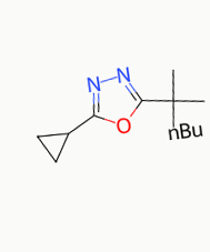 CCCCC(C)(C)c1nnc(C2CC2)o1